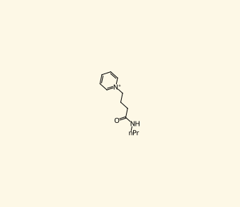 [CH2]CCNC(=O)CCC[n+]1ccccc1